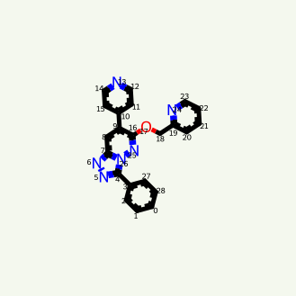 c1ccc(-c2nnc3cc(-c4ccncc4)c(OCc4ccccn4)nn23)cc1